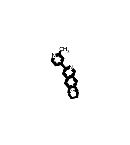 Cc1cc(-c2cc3cc4c(cc3cn2)C2CCC4O2)ccn1